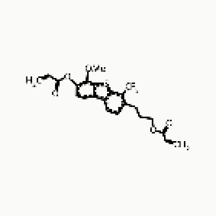 C=CC(=O)OCCCc1ccc2c(sc3c(OC)c(OC(=O)C=C)ccc32)c1C(F)(F)F